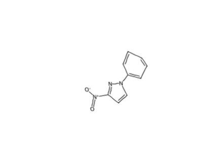 O=[N+]([O-])c1ccn(-c2ccccc2)n1